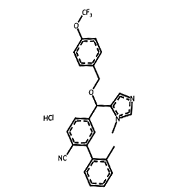 Cc1ccccc1-c1cc(C(OCc2ccc(OC(F)(F)F)cc2)c2cncn2C)ccc1C#N.Cl